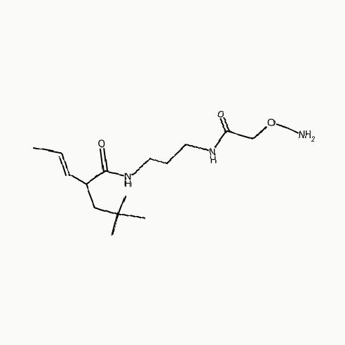 CC=CC(CC(C)(C)C)C(=O)NCCCNC(=O)CON